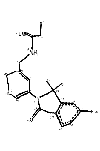 CCC(=O)NCC1=CC(N2C(=O)c3ccc(F)cc3C2(C)C)=CNC1